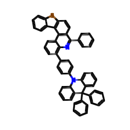 c1ccc(-c2nc3c(-c4ccc(N5c6ccccc6C(c6ccccc6)(c6ccccc6)c6ccccc65)cc4)cccc3c3c2ccc2sc4ccccc4c23)cc1